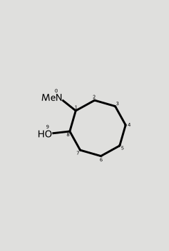 CNC1CCCCCCC1O